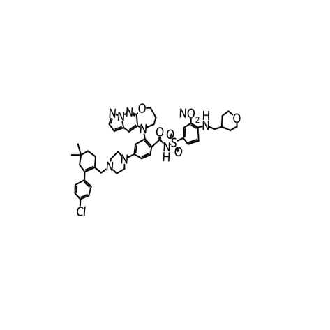 CC1(C)CCC(CN2CCN(c3ccc(C(=O)NS(=O)(=O)c4ccc(NCC5CCOCC5)c([N+](=O)[O-])c4)c(N4CCCOc5nn6nccc6cc54)c3)CC2)=C(c2ccc(Cl)cc2)C1